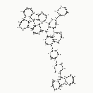 c1ccc(-c2ccc(N(c3ccc(-c4ccc(-c5ccc(-n6c7ccccc7c7ccccc76)cc5)cc4)cc3)c3ccc4c(c3)C3(c5ccccc5-c5ccccc53)c3ccccc3-4)c(-c3ccccc3)c2)cc1